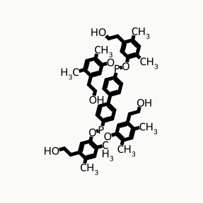 Cc1cc(C)c(OP(Oc2cc(CCO)c(C)cc2C)c2ccc(-c3ccc(P(Oc4cc(CCO)c(C)cc4C)Oc4cc(CCO)c(C)cc4C)cc3)cc2)cc1CCO